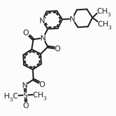 CC1(C)CCN(c2ccnc(N3C(=O)c4ccc(C(=O)N=S(C)(C)=O)cc4C3=O)c2)CC1